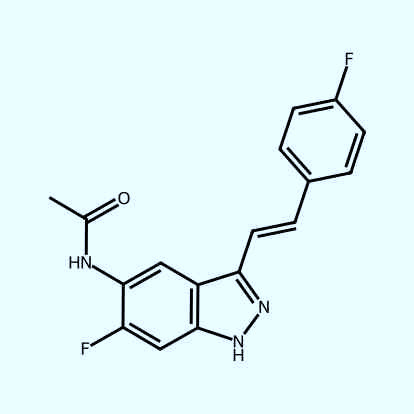 CC(=O)Nc1cc2c(C=Cc3ccc(F)cc3)n[nH]c2cc1F